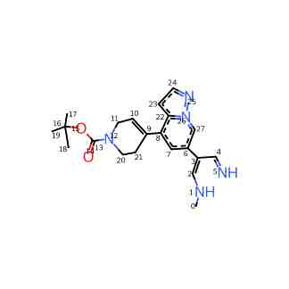 CN/C=C(\C=N)c1cc(C2=CCN(C(=O)OC(C)(C)C)CC2)c2ccnn2c1